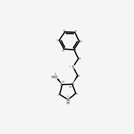 O[C@@H]1CNC[C@@H]1CSCc1ccccc1